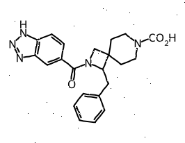 O=C(O)N1CCC2(CC1)CN(C(=O)c1ccc3[nH]nnc3c1)C2Cc1ccccc1